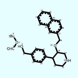 CC(C)(C)OC=O.OCc1ccc(C2CCNCC2OCc2ccc3ccccc3c2)cc1